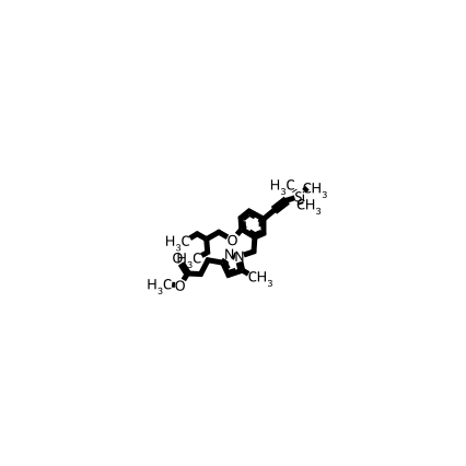 CCC(CC)COc1ccc(C#C[Si](C)(C)C)cc1Cn1nc(CCC(=O)OC)cc1C